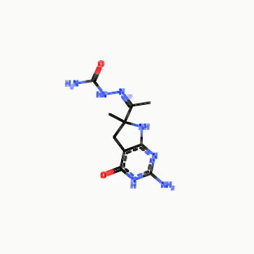 C/C(=N/NC(N)=O)C1(C)Cc2c(nc(N)[nH]c2=O)N1